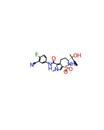 C#CC(C)(O)[C@H]1CCc2c(cn(C)c2C(=O)Nc2ccc(F)c(C#N)c2)S(=O)(=O)N1